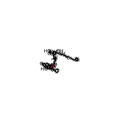 Cc1n(CCC(=O)OCC(=O)[C@@]23O[C@H](C4CCCCC4)O[C@@H]2C[C@H]2[C@@H]4CCC5=CC(=O)C=C[C@]5(C)[C@H]4[C@@H](O)C[C@@]23C)cc[n+]1Cc1cc(C(O)CNCCCCCCOCCCCc2ccccc2)ccc1OP(=O)(O)O